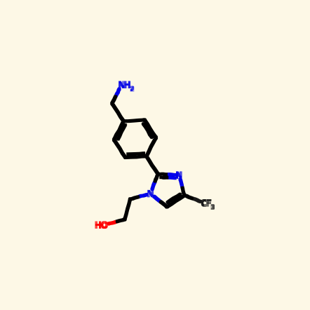 NCc1ccc(-c2nc(C(F)(F)F)cn2CCO)cc1